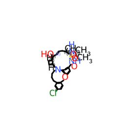 CCC(C)N[C@H]1[C@H](C)C/C=C/[C@H](O)[C@@H]2CC[C@H]2CN2CCCCc3cc(Cl)ccc3COc3ccc(cc32)C(=O)NS1(=O)=O